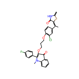 C=c1[nH]c(=O)/c(=C(/C)c2ccc(OCCCOc3c(-c4ccc(F)cc4)n(C)c4ccccc4c3=O)c(Cl)c2)s1